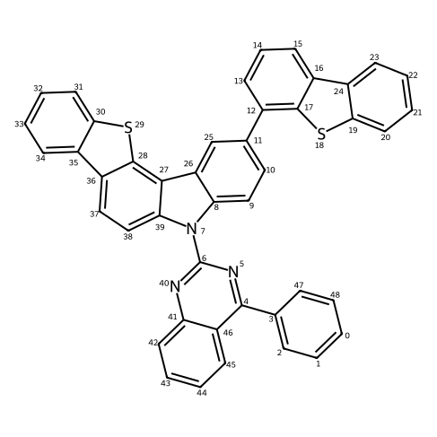 c1ccc(-c2nc(-n3c4ccc(-c5cccc6c5sc5ccccc56)cc4c4c5sc6ccccc6c5ccc43)nc3ccccc23)cc1